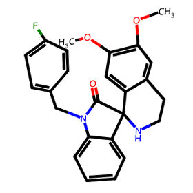 COc1cc2c(cc1OC)C1(NCC2)C(=O)N(Cc2ccc(F)cc2)c2ccccc21